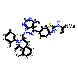 C=C(NC)Nc1nc2ccc(-c3nn(CC4=Cc5cccc(C)c5C(=C)N4c4ccccc4C)c4ncnc(C)c34)cc2s1